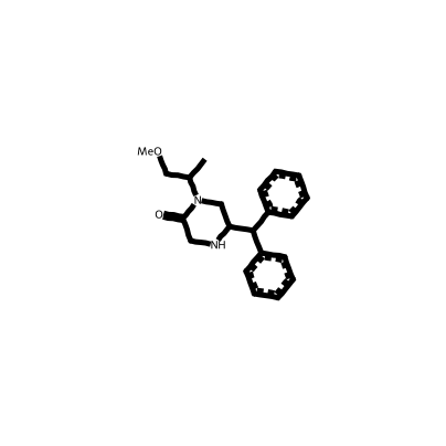 COCC(C)N1CC(C(c2ccccc2)c2ccccc2)NCC1=O